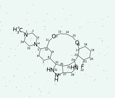 CN1CCN(C2CCC3CC2COCCCOC2CCCC(F)C2C2CC4C(CN2)NNC34)CC1